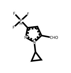 O=Cc1cc([PH](F)(F)F)nn1C1CC1